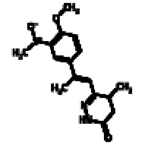 COc1ccc(C(C)=CC2=NNC(=O)CC2C)cc1[S+](C)[O-]